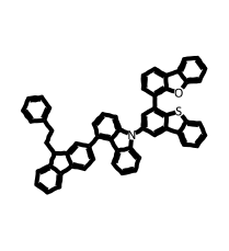 c1ccc(CCC2c3ccccc3-c3ccc(-c4cccc5c4c4ccccc4n5-c4cc(-c5cccc6c5oc5ccccc56)c5sc6ccccc6c5c4)cc32)cc1